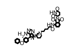 Nc1ncnc2c1c(-c1ccc(Oc3ccccc3)cc1)nn2[C@H]1CCCN(CCCCCC(=O)Nc2cccc3c2C(=O)N(C2CCC(=O)NC2=O)C3=O)C1